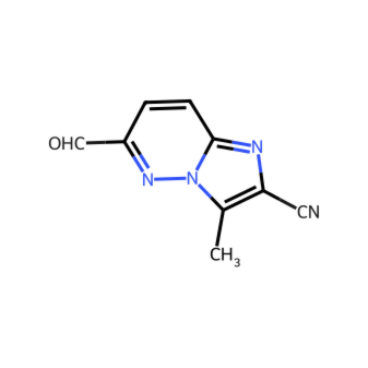 Cc1c(C#N)nc2ccc(C=O)nn12